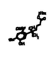 CCCCCCOC(=O)CCCC(C)(C)c1cc(O)c(C(C)(C)C)cc1OC